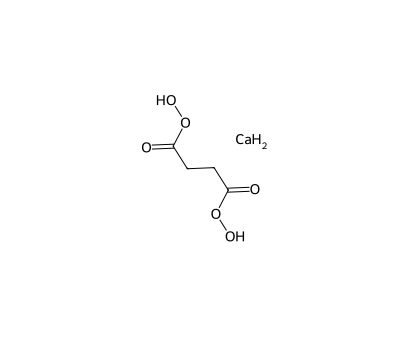 O=C(CCC(=O)OO)OO.[CaH2]